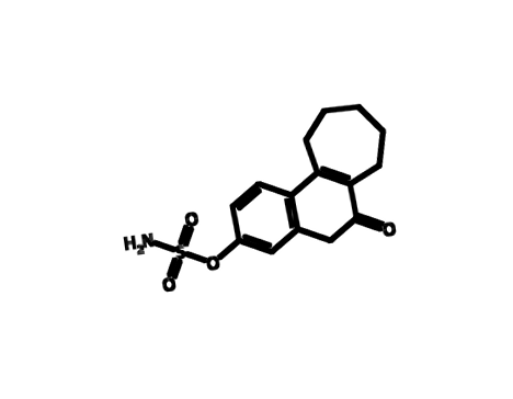 NS(=O)(=O)Oc1ccc2c(c1)CC(=O)C1=C2CCCCC1